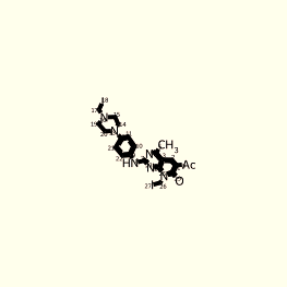 CC(=O)c1cc2c(C)nc(Nc3ccc(N4CCN(CI)CC4)cc3)nc2n(CI)c1=O